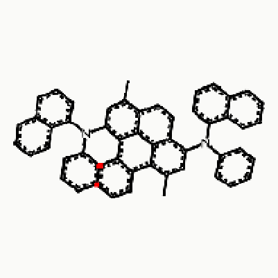 Cc1cc(N(c2ccccc2)c2cccc3ccccc23)c2c3ccccc3c3c(C)cc(N(c4ccccc4)c4cccc5ccccc45)c4ccc1c2c43